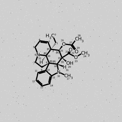 CC[C@]12C=CCN3CC[C@@]4(c5ccccc5N(C)[C@H]4[C@@](O)(C(=O)OC)[C@@H]1OC(C)=O)[C@@H]32